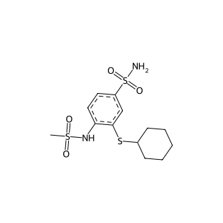 CS(=O)(=O)Nc1ccc(S(N)(=O)=O)cc1SC1CCCCC1